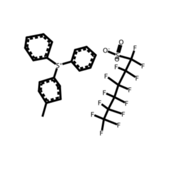 Cc1ccc([S+](c2ccccc2)c2ccccc2)cc1.O=S(=O)([O-])C(F)(F)C(F)(F)C(F)(F)C(F)(F)C(F)(F)C(F)(F)F